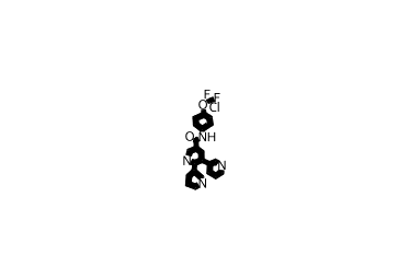 O=C(Nc1ccc(OC(F)(F)Cl)cc1)c1cnc(-c2cccnc2)c(-c2cccnc2)c1